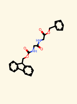 O=C(CNC(=O)OCC1c2ccccc2-c2ccccc21)NCC(=O)OCc1ccccc1